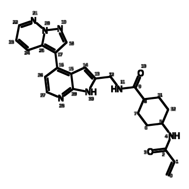 C=CC(=O)NC1CCC(C(=O)NCc2cc3c(-c4cnn5ncccc45)ccnc3[nH]2)CC1